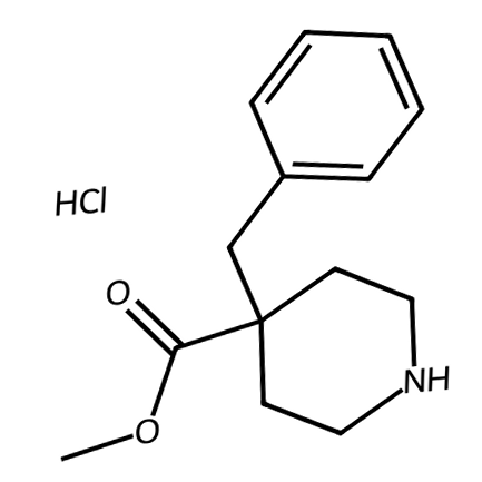 COC(=O)C1(Cc2ccccc2)CCNCC1.Cl